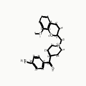 COc1cccc2c1OC(CN1CCC(C(=O)c3ccc(F)cc3)CC1)CC2